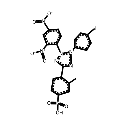 Cc1cc(S(=O)(=O)O)ccc1-c1nn(-c2ccc([N+](=O)[O-])cc2[N+](=O)[O-])[n+](-c2ccc(I)cc2)n1